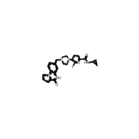 O=C(NC1CC1)c1ccc(N2CCN(Cc3ccc4c(c3)[nH]c(=O)c3cccn34)CC2)c(F)n1